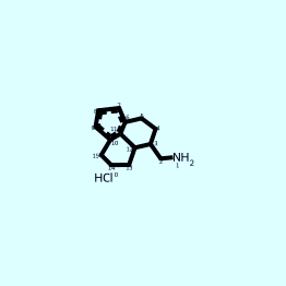 Cl.NCC1CCc2cccc3c2C1CCC3